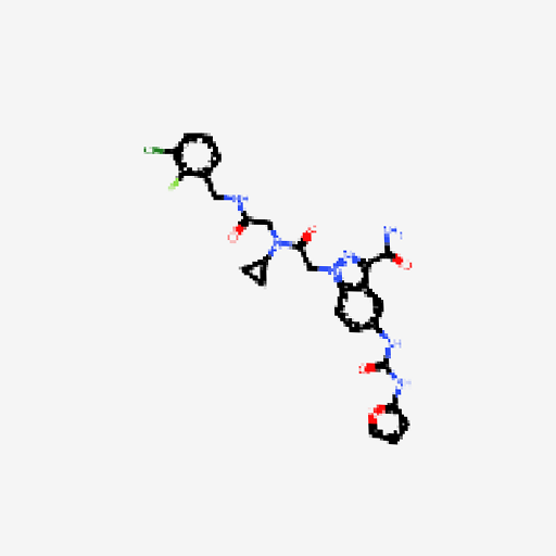 NC(=O)c1nn(CC(=O)N(CC(=O)NCc2cccc(Cl)c2F)C2CC2)c2ccc(NC(=O)Nc3ccco3)cc12